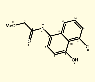 COCC(=O)Nc1ccc(O)c2c(Cl)cccc12